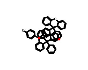 Fc1ccc(N(c2ccc(C3(c4ccccc4)c4ccccc4Oc4ccccc43)cc2)c2ccccc2C2(c3ccccc3)c3ccccc3-c3ccccc32)cc1